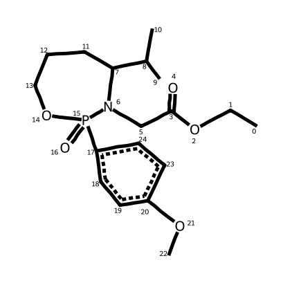 CCOC(=O)CN1C(C(C)C)CCCOP1(=O)c1ccc(OC)cc1